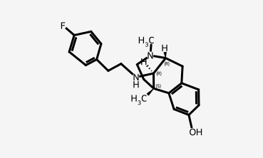 CN1CC[C@@]2(C)c3cc(O)ccc3C[C@@H]1[C@@H]2NCCc1ccc(F)cc1